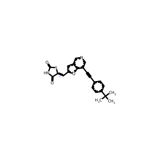 CC(C)(C)c1ccc(C#Cc2cncc3cc(/C=C4\SC(=O)NC4=O)oc23)cc1